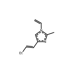 C=Cn1cc(C=CCC)nc1C